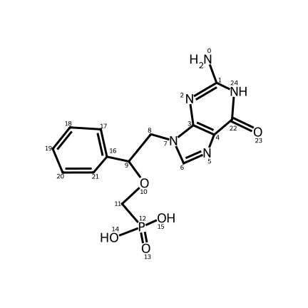 Nc1nc2c(ncn2CC(OCP(=O)(O)O)c2ccccc2)c(=O)[nH]1